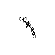 ClC(Cl)=CCOc1cc(Cl)c(OCCCON=Cc2ccc(Cl)cc2)c(Cl)c1